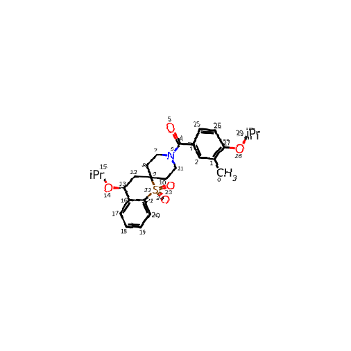 Cc1cc(C(=O)N2CCC3(CC2)C[C@H](OC(C)C)c2ccccc2S3(=O)=O)ccc1OC(C)C